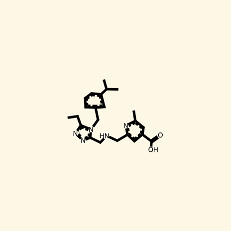 CCc1nnc(CNCc2cc(C(=O)O)cc(C)n2)n1Cc1cccc(C(C)C)c1